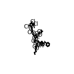 CCCCOC(=O)Nc1nc(=O)n([C@@H]2OC(COC(=O)COc3nc(Cl)c(Cl)cc3Cl)C(OC(=O)OC(C)(C)C)C2(F)F)cc1-c1cn(Cc2ccccc2)nn1